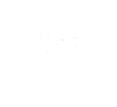 CC(C)(C)c1ccc(CCC(C=O)CC2CCCCC2)cc1NC(=O)CC1c2ccccc2Oc2ccccc21